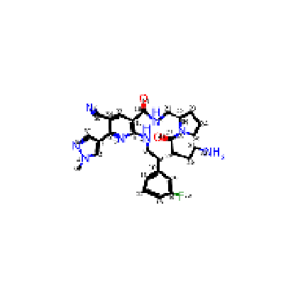 Cn1cc(-c2nc(NCCc3cccc(F)c3)c(C(=O)NC[C@H]3CCCN3C(=O)CCCN)cc2C#N)cn1